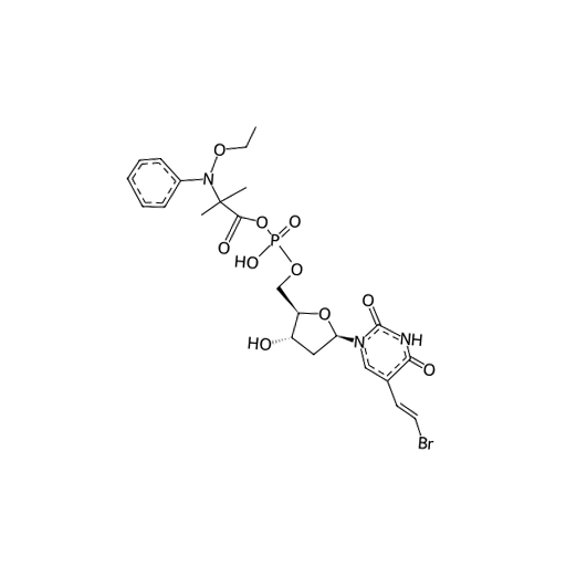 CCON(c1ccccc1)C(C)(C)C(=O)OP(=O)(O)OC[C@H]1O[C@@H](n2cc(/C=C/Br)c(=O)[nH]c2=O)C[C@@H]1O